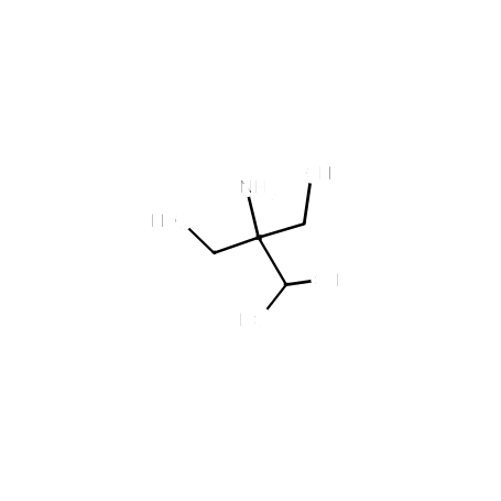 CCC(N)(CC)C(C)C